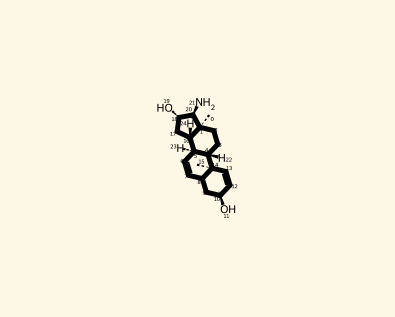 C[C@]12CC[C@H]3[C@@H](C=CC4C[C@H](O)C=C[C@@]43C)[C@@H]1C[C@H](O)[C@H]2N